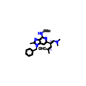 CSNc1nc(C(/C=C(/C)C=O)=C/N(C)C)cc2c1nc(C)n2Cc1ccccc1